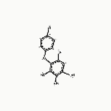 N#Cc1cc(O)c(O)c(C#N)c1Oc1ccc(Cl)cc1